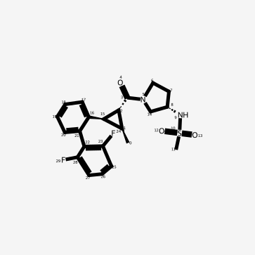 C[C@@H]1[C@@H](C(=O)N2CC[C@H](NS(C)(=O)=O)C2)[C@@H]1c1ccccc1-c1c(F)cccc1F